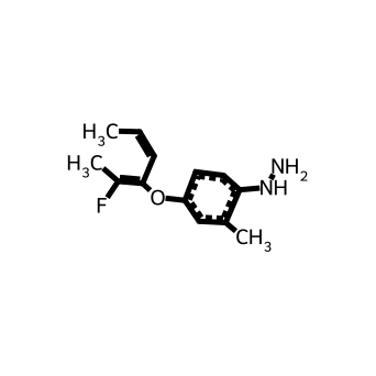 C/C=C\C(Oc1ccc(NN)c(C)c1)=C(/C)F